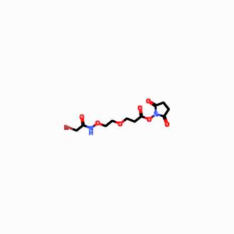 O=C(CBr)NOCCOCCC(=O)ON1C(=O)CCC1=O